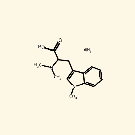 CN(C)C(Cc1cn(C)c2ccccc12)C(=O)O.[AlH3]